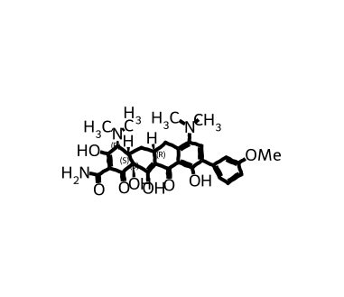 COc1cccc(-c2cc(N(C)C)c3c(c2O)C(=O)C2=C(O)[C@]4(O)C(=O)C(C(N)=O)=C(O)[C@H](N(C)C)[C@@H]4C[C@@H]2C3)c1